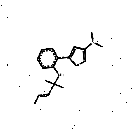 CC=CC(C)(C)Nc1ccccc1C1=CC(N(C)C)=CC1